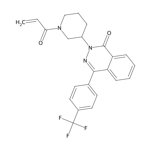 C=CC(=O)N1CCCC(n2nc(-c3ccc(C(F)(F)F)cc3)c3ccccc3c2=O)C1